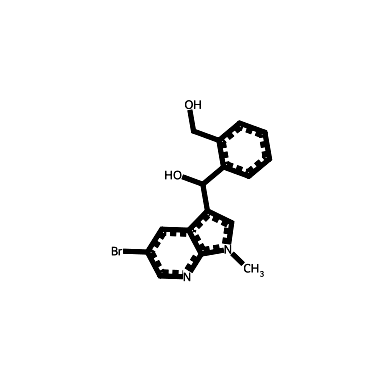 Cn1cc(C(O)c2ccccc2CO)c2cc(Br)cnc21